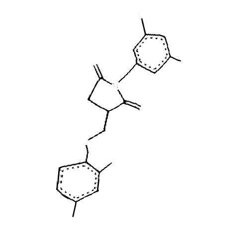 O=C1CC(CSc2ccc(Cl)cc2Cl)C(=O)N1c1cc(Cl)cc(Cl)c1